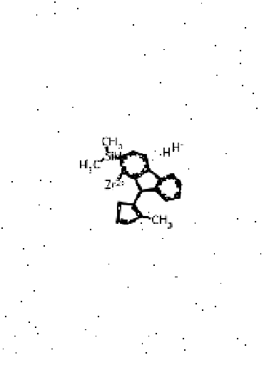 CC1=C(C2c3ccccc3-c3ccc([SiH](C)C)[c]([Zr+2])c32)CC=C1.[H-].[H-]